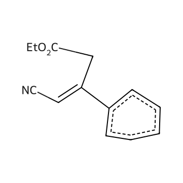 CCOC(=O)CC(=CC#N)c1ccccc1